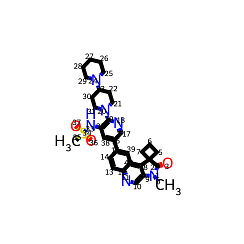 CN1C(=O)C2(CCC2)c2c1cnc1ccc(-c3cnc(N4CCC(N5CCCCC5)CC4)c(NS(C)(=O)=O)c3)cc21